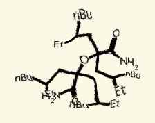 CCCCC(CC)CC(CC(CC)CCCC)(OC(CC(CC)CCCC)(CC(CC)CCCC)C(N)=O)C(N)=O